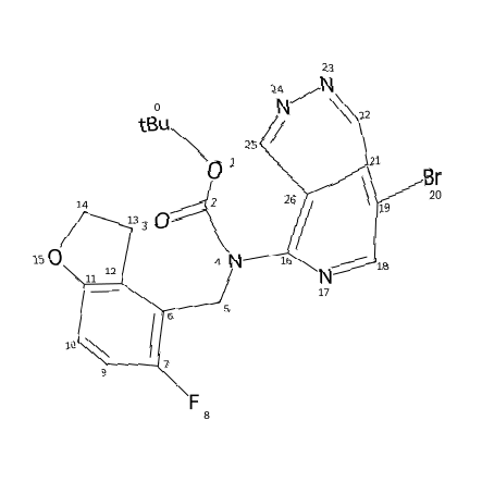 CC(C)(C)OC(=O)N(Cc1c(F)ccc2c1CCO2)c1ncc(Br)c2cnncc12